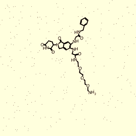 NCOCCOCCOCCNC(=O)CNc1cc2c(cc1NCC(=O)NCc1ccccc1)C(=O)N(C1CCC(=O)NC1=O)C2